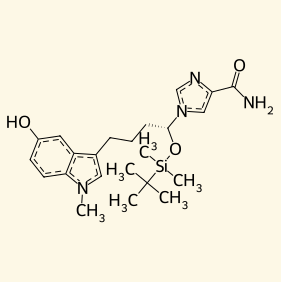 Cn1cc(CCC[C@@H](O[Si](C)(C)C(C)(C)C)n2cnc(C(N)=O)c2)c2cc(O)ccc21